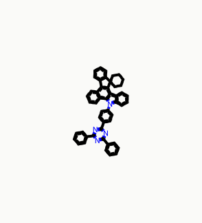 c1ccc(-c2nc(-c3ccccc3)nc(-c3ccc(-n4c5ccccc5c5c6c(c7ccccc7c54)-c4ccccc4C64CCCCC4)cc3)n2)cc1